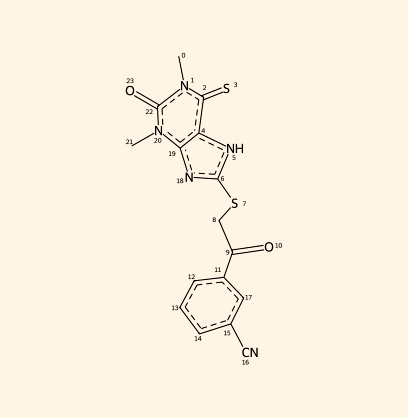 Cn1c(=S)c2[nH]c(SCC(=O)c3cccc(C#N)c3)nc2n(C)c1=O